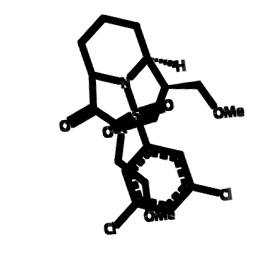 COCCN1C[C@H](COC)[C@@H]2CCCC(C1=O)N2S(=O)(=O)c1cc(Cl)cc(Cl)c1